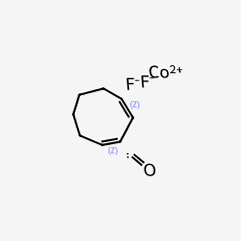 C1=C\CCCC\C=C/1.[C]=O.[Co+2].[F-].[F-]